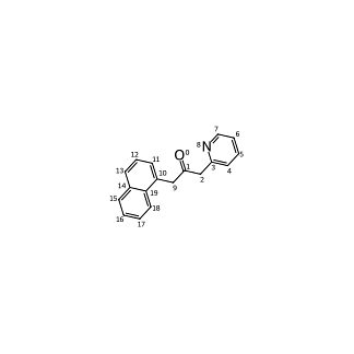 O=C(Cc1ccccn1)Cc1cccc2ccccc12